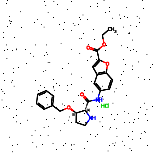 CCOC(=O)c1cc2cc(NC(=O)[C@@H]3NCC[C@H]3OCc3ccccc3)ccc2o1.Cl